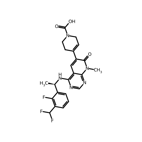 C[C@@H](Nc1ncnc2c1cc(C1=CCN(C(=O)O)CC1)c(=O)n2C)c1cccc(C(F)F)c1F